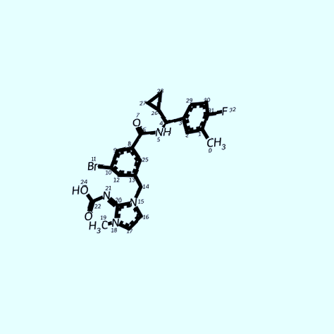 Cc1cc([C@@H](NC(=O)c2cc(Br)cc(Cn3ccn(C)/c3=N\C(=O)O)c2)C2CC2)ccc1F